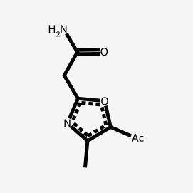 CC(=O)c1oc(CC(N)=O)nc1C